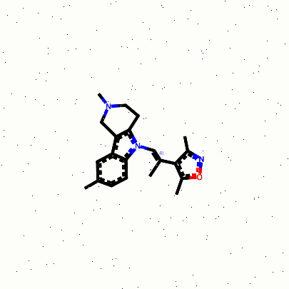 C/C(=C\n1c2c(c3cc(C)ccc31)CN(C)CC2)c1c(C)noc1C